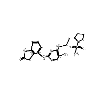 CS(=O)(=O)N1CCC[C@H]1CCNc1nc(Nc2cccc3c2CC(=O)N3)ncc1C(F)(F)F